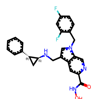 O=C(NO)c1cc2c(CN[C@H]3C[C@@H]3c3ccccc3)cn(Cc3ccc(F)cc3F)c2cn1